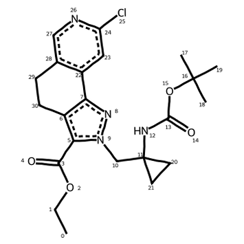 CCOC(=O)c1c2c(nn1CC1(NC(=O)OC(C)(C)C)CC1)-c1cc(Cl)ncc1CC2